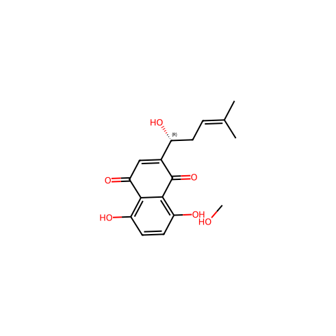 CC(C)=CC[C@@H](O)C1=CC(=O)c2c(O)ccc(O)c2C1=O.CO